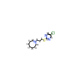 Clc1cnc(SCCCN2CCCCCCC2)nc1